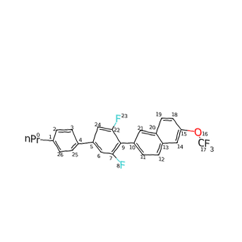 CCCc1ccc(-c2cc(F)c(-c3ccc4cc(OC(F)(F)F)ccc4c3)c(F)c2)cc1